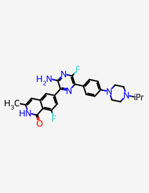 Cc1cc2cc(-c3nc(-c4ccc(N5CCN(C(C)C)CC5)cc4)c(F)nc3N)cc(F)c2c(=O)[nH]1